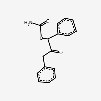 NC(=O)OC(C(=O)Cc1ccccc1)c1ccccc1